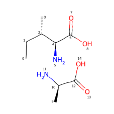 CC[C@H](C)[C@H](N)C(=O)O.C[C@@H](N)C(=O)O